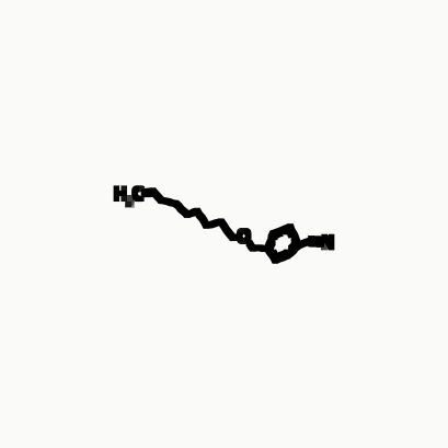 C=CCCCCCCCOCc1ccc(C#N)cc1